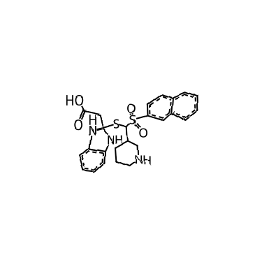 O=C(O)CC1(SC(C2CCCNC2)S(=O)(=O)c2ccc3ccccc3c2)Nc2ccccc2N1